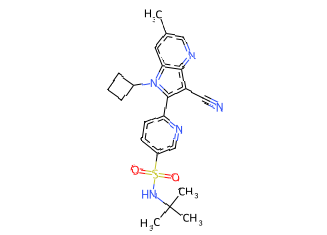 Cc1cnc2c(C#N)c(-c3ccc(S(=O)(=O)NC(C)(C)C)cn3)n(C3CCC3)c2c1